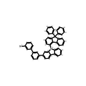 Brc1cccc(-c2cccc(-c3ccc4c5ccccc5n(-c5cccc6c5-c5ccccc5C6(c5ccccc5)c5ccccc5)c4c3)c2)c1